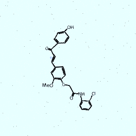 COc1cc(/C=C/C(=O)c2ccc(O)cc2)ccc1OCC(=O)Nc1ccccc1Cl